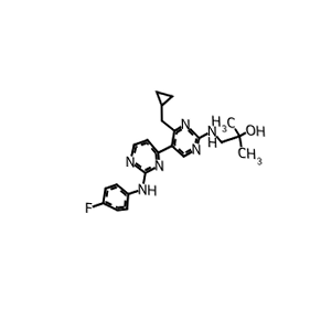 CC(C)(O)CNc1ncc(-c2ccnc(Nc3ccc(F)cc3)n2)c(CC2CC2)n1